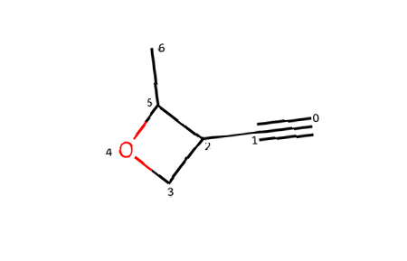 C#CC1COC1C